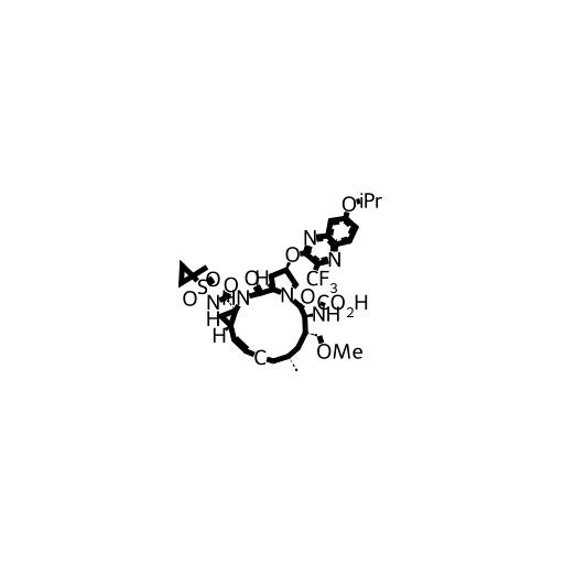 COC[C@@H]1C[C@H](C)CCC=C[C@@H]2C[C@@]2(C(=O)NS(=O)(=O)C2(C)CC2)NC(=O)[C@@H]2C[C@@H](Oc3nc4cc(OC(C)C)ccc4nc3C(F)(F)F)CN2C(=O)[C@H]1NC(=O)O